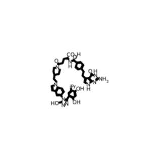 CC(C)c1cc(-c2nnc(O)n2-c2ccc3c(ccn3CCC3CCN(C(=O)CC[C@H](NC(=O)c4ccc(CCc5c[nH]c6nc(N)[nH]c(=O)c56)cc4)C(=O)O)CC3)c2)c(O)cc1O